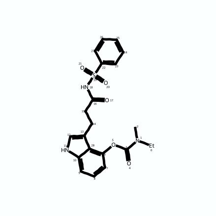 CCN(C)C(=O)Oc1cccc2[nH]cc(CCC(=O)NS(=O)(=O)c3ccccc3)c12